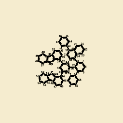 c1ccc(-c2cccc(-c3ccc(-c4ccccc4)c4ccccc34)c2-c2nc(-c3cccc4c3sc3ccccc34)cc(-c3cccc4c3sc3ccccc34)n2)cc1